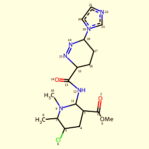 COC(=O)C1CC(Cl)C(C)N(C)C1NC(=O)C1CCC(n2ccnc2)N=N1